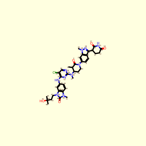 CC1C(=O)N(c2ccc3c(C4CCC(=O)NC4=O)nn(C)c3c2)CCC1N(C)c1ncc(Cl)c(Nc2ccc3c(c2)n(CCC(C)(C)O)c(=O)n3C)n1